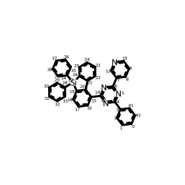 c1ccc(-c2nc(-c3cccnc3)nc(-c3cccc4c3-c3ccccc3[Si]4(c3ccccc3)c3ccccc3)n2)cc1